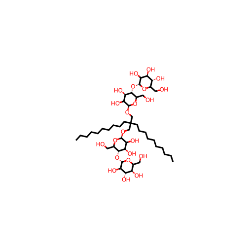 CCCCCCCCCCC(CCCCCCCCCC)(CO[C@@H]1OC(CO)[C@@H](O[C@H]2OC(CO)[C@@H](O)[C@H](O)C2O)[C@H](O)C1O)CO[C@@H]1OC(CO)[C@@H](O[C@@H]2OC(CO)[C@@H](O)[C@H](O)C2O)[C@H](O)C1O